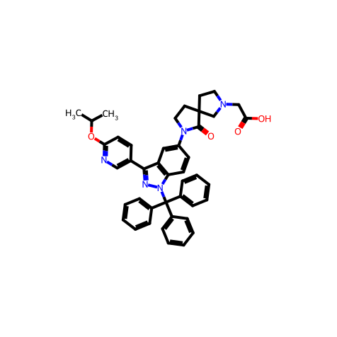 CC(C)Oc1ccc(-c2nn(C(c3ccccc3)(c3ccccc3)c3ccccc3)c3ccc(N4CCC5(CCN(CC(=O)O)C5)C4=O)cc23)cn1